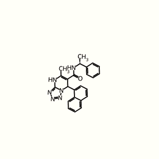 CC1=C(C(=O)N[C@@H](C)c2ccccc2)C(c2cccc3ccccc23)n2nnnc2N1